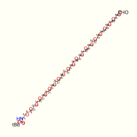 CC(C)(C)OC(=O)NCCOCCOCCOCCOCCOCCOCCOCCOCCOCCOCCOCCOCCOCCOCCOCCOCCOCCOCCOCCOCCOC=O